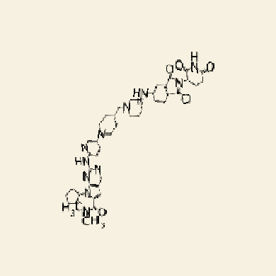 CN(C)C(=O)c1cc2cnc(Nc3ccc(N4CCC(CN5CCC[C@H](Nc6ccc7c(c6)C(=O)N(C6CCC(=O)NC6=O)C7=O)C5)CC4)cn3)nc2n1C1CCCC1